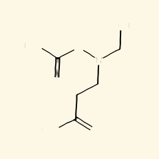 CCN(CCC(C)=O)OC(C)=O